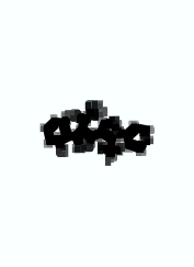 CNC(=O)c1c(-c2c(F)cccc2Cl)noc1-c1cnn(-c2ccncc2)c1C(F)(F)F